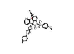 CCOc1ncccc1C1(N2CC3(CN(C4CCN(C)CC4)C3)C2)C(=O)N(S(=O)(=O)c2ccc(OC)cc2)c2ccc(C#N)cc21